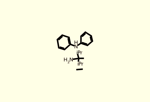 CC.CC(C)C(C)(N)C(C)C.c1ccc(Nc2ccccc2)cc1